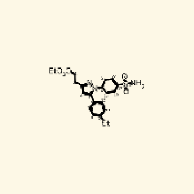 CCOC(=O)CCc1cc(-c2ccc(CC)cc2)n(C2C=CC(S(N)(=O)=O)=CC2)n1